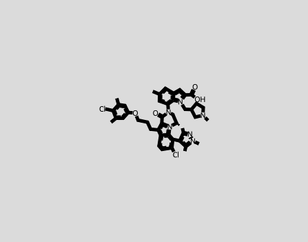 Cc1cc(N2C[C@@H](C)n3c(c(CCCOc4cc(C)c(Cl)c(C)c4)c4ccc(Cl)c(-c5c(C)nn(C)c5C)c43)C2=O)c2c(c1)cc(C(=O)O)n2CC1CCN(C)C1